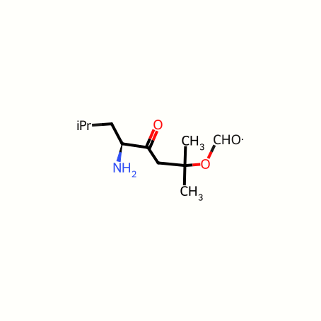 CC(C)C[C@H](N)C(=O)CC(C)(C)O[C]=O